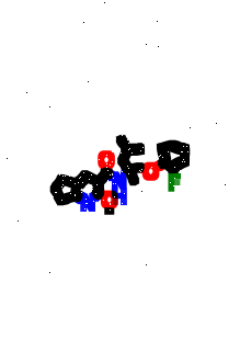 C=C(C)CC(C)(COc1ccccc1F)NC(=O)c1cc2c(nc1OC)CCC2